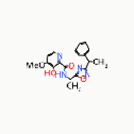 COc1ccnc(C(=O)N[C@@H](C)c2nc(C(C)c3ccccc3)no2)c1O